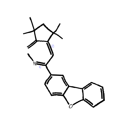 C=C1/C(=C\C(=N/C)c2ccc3oc4ccccc4c3c2)C(C)(C)CC1(C)C